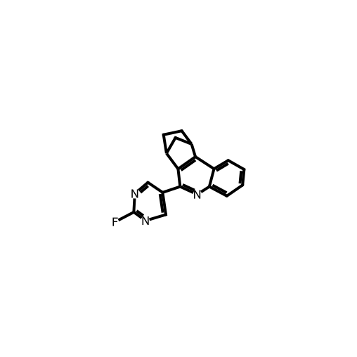 Fc1ncc(-c2nc3ccccc3c3c2C2CCC3C2)cn1